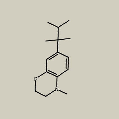 CC(C)C(C)(C)c1ccc2c(c1)OCCN2C